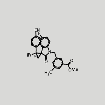 COC(=O)c1cc(C)cc(CN2C(=O)C3(C[C@@]3(c3ccc(C#N)cc3)C(C)C)c3cc(F)ccc32)c1